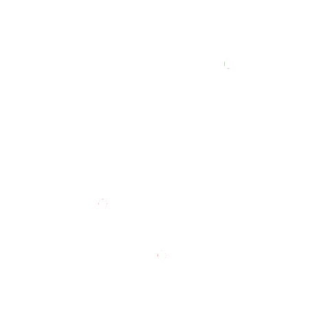 ClCCc1ccc2c(c1)OCCO2